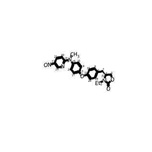 CCN1C(=O)OC[C@@H]1Cc1ccc(Oc2ccc(N(C)c3ccc(N=O)cn3)cc2)cc1